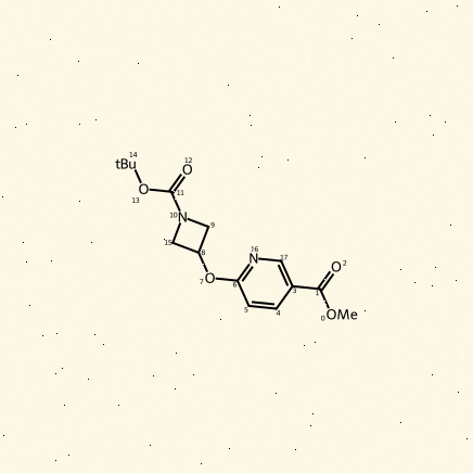 COC(=O)c1ccc(OC2CN(C(=O)OC(C)(C)C)C2)nc1